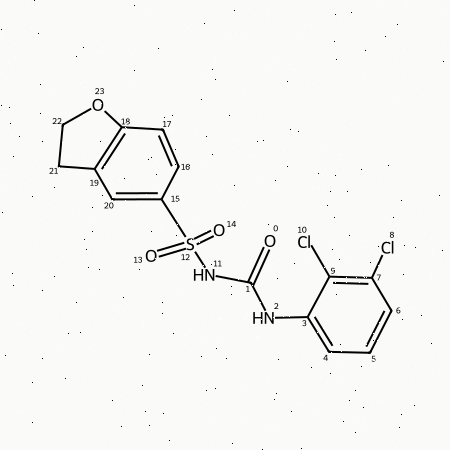 O=C(Nc1cccc(Cl)c1Cl)NS(=O)(=O)c1ccc2c(c1)CCO2